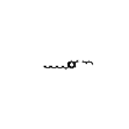 CCCCCCCCC(O)c1ccc(C(=O)NCCCC(=O)O)cc1